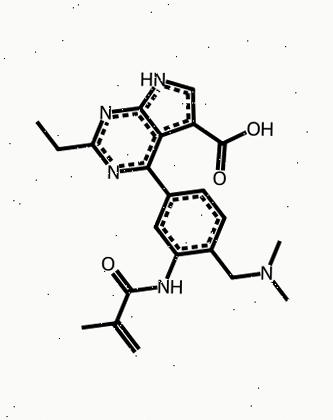 C=C(C)C(=O)Nc1cc(-c2nc(CC)nc3[nH]cc(C(=O)O)c23)ccc1CN(C)C